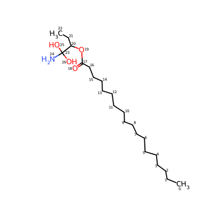 CCCCCCCCCCCCCCCCCC(=O)OC(CC)C(N)(O)O